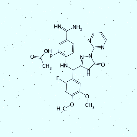 CC(=O)O.COc1cc(F)c(C(Nc2ccc(C(=N)N)cc2F)c2nn(-c3ncccn3)c(=O)[nH]2)cc1OC